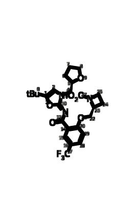 CC(C)(C)c1cn(C[C@H]2CCCO2)/c(=N/C(=O)c2cc(C(F)(F)F)ccc2OC[C@@H]2CCN2C(=O)O)o1